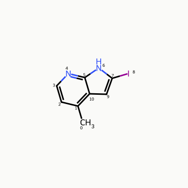 Cc1ccnc2[nH]c(I)cc12